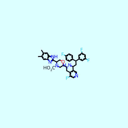 Cc1cc2nc(C3COC(CCc4c(F)cncc4C(N)CC(c4ccc(F)cc4)c4cc(F)cc(F)c4)CN3C(=O)O)[nH]c2cc1C